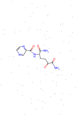 NC(=O)C(=O)CCC(NC(=O)c1cnccn1)C(N)=O